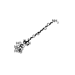 NCCCOCCOCCCCCOCCOCCCSc1ncnc2c1ncn2C1OC(OP(=O)(O)O)C(O)C1O